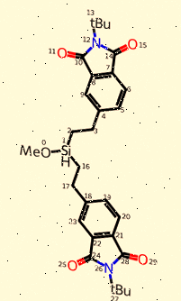 CO[SiH](CCc1ccc2c(c1)C(=O)N(C(C)(C)C)C2=O)CCc1ccc2c(c1)C(=O)N(C(C)(C)C)C2=O